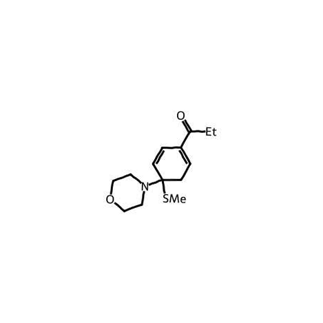 CCC(=O)C1=CCC(SC)(N2CCOCC2)C=C1